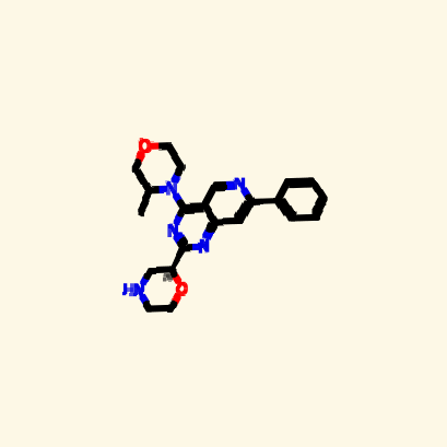 CC1COCCN1c1nc([C@@H]2CNCCO2)nc2cc(-c3ccccc3)ncc12